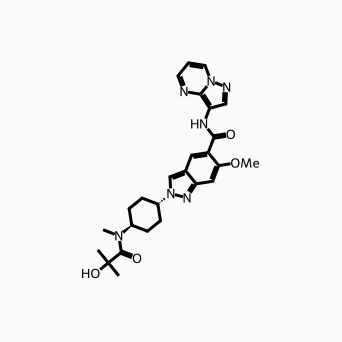 COc1cc2nn([C@H]3CC[C@H](N(C)C(=O)C(C)(C)O)CC3)cc2cc1C(=O)Nc1cnn2cccnc12